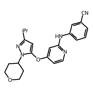 CC(C)c1cc(Oc2ccnc(Nc3cccc(C#N)c3)c2)n(C2CCOCC2)n1